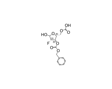 O=C(O)OC[C@H]1OC(O)[C@@H](F)[C@@H]1OC(=O)OCc1ccccc1